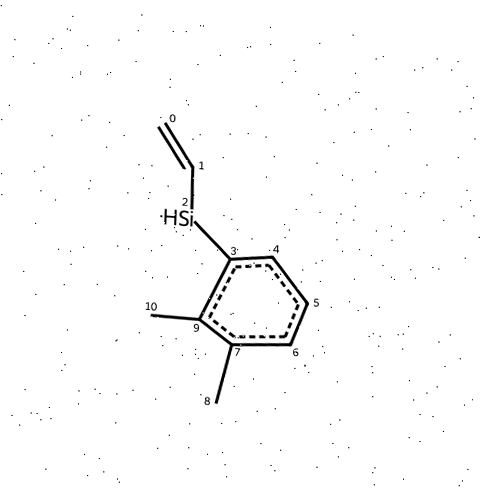 C=C[SiH]c1cccc(C)c1C